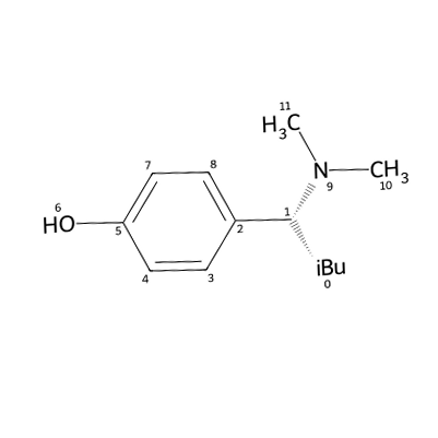 CC[C@@H](C)[C@H](c1ccc(O)cc1)N(C)C